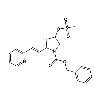 CS(=O)(=O)OC1CC(C=Cc2ccccn2)N(C(=O)OCc2ccccc2)C1